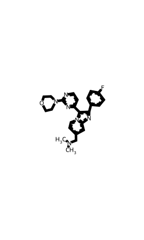 CN(C)Cc1ccn2c(-c3ccnc(N4CCOCC4)n3)c(-c3ccc(F)cc3)nc2c1